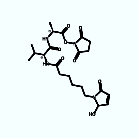 CC(C)[C@H](NC(=O)CCCCCN1C(=O)C=CC1O)C(=O)N[C@@H](C)C(=O)ON1C(=O)CCC1=O